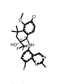 COc1c(Cl)ccc2c1C(C)(C)C[C@](O)(C(F)(F)F)[C@@H]2Nc1ccc(F)c2nc(C)ncc12